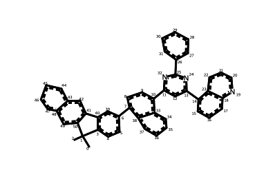 CC1(C)c2ccc(-c3ccc(-c4cc(-c5cccc6ncccc56)nc(-c5ccccc5)n4)c4ccccc34)cc2-c2cc3ccccc3cc21